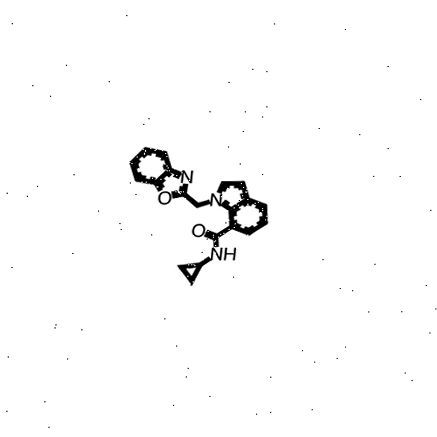 O=C(NC1[CH]C1)c1cccc2ccn(Cc3nc4ccccc4o3)c12